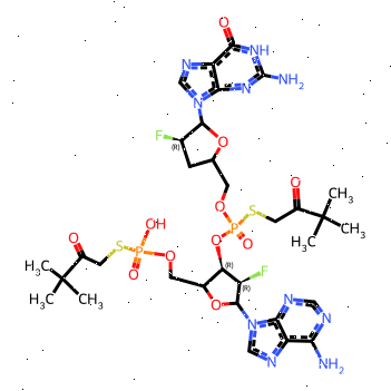 CC(C)(C)C(=O)CSP(=O)(O)OCC1OC(n2cnc3c(N)ncnc32)[C@H](F)[C@@H]1OP(=O)(OCC1C[C@@H](F)C(n2cnc3c(=O)[nH]c(N)nc32)O1)SCC(=O)C(C)(C)C